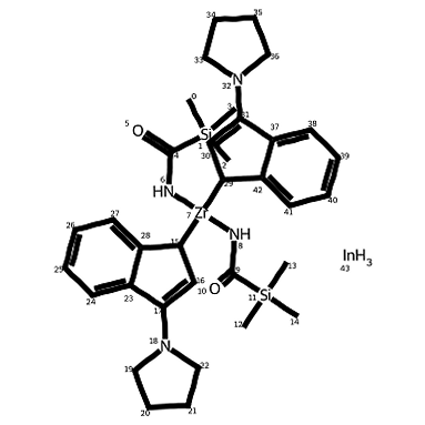 C[Si](C)(C)C(=O)[NH][Zr]([NH]C(=O)[Si](C)(C)C)([CH]1C=C(N2CCCC2)c2ccccc21)[CH]1C=C(N2CCCC2)c2ccccc21.[InH3]